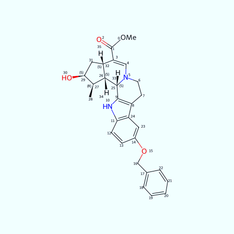 COC(=O)C1=CN2CCc3c([nH]c4ccc(OCc5ccccc5)cc34)[C@@H]2[C@@H]2[C@@H](C)[C@@H](O)C[C@H]12